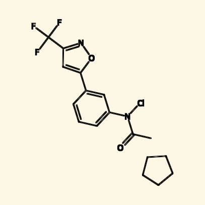 C1CCCC1.CC(=O)N(Cl)c1cccc(-c2cc(C(F)(F)F)no2)c1